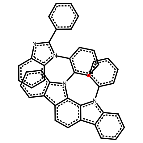 c1ccc(-c2nc3ccccc3n2-c2ccccc2-n2c3ccccc3c3ccc4c5ccccc5n(-c5ccccc5)c4c32)cc1